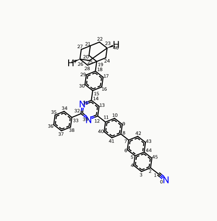 N#Cc1ccc2cc(-c3ccc(-c4cc(-c5ccc(C67CC8C[C@H](C6)C[C@@H](C8)C7)cc5)nc(-c5ccccc5)n4)cc3)ccc2c1